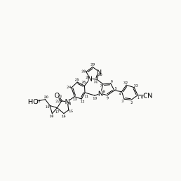 N#Cc1ccc(-c2cc3n(c2)Cc2cc(N4CCC5(CC5CO)C4=O)ccc2-n2ccnc2-3)cc1